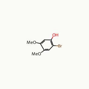 COc1cc(O)c(Br)cc1OC